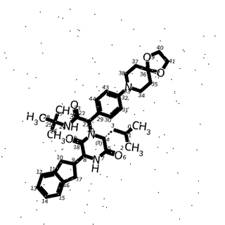 CC(C)C[C@@H]1C(=O)NC(C2Cc3ccccc3C2)C(=O)N1C(C(=O)NC(C)(C)C)c1ccc(N2CCC3(CC2)OCCO3)cc1